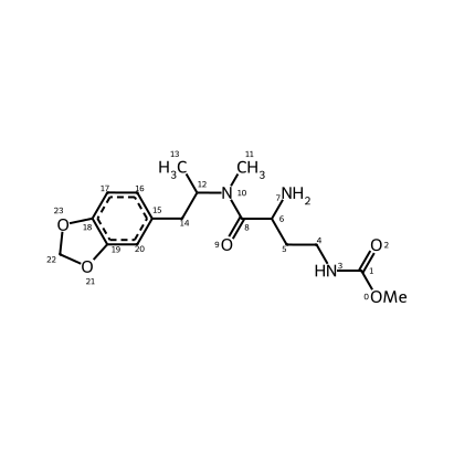 COC(=O)NCCC(N)C(=O)N(C)C(C)Cc1ccc2c(c1)OCO2